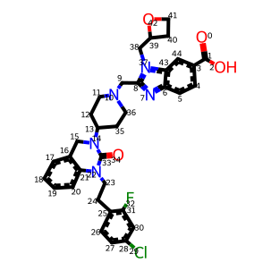 O=C(O)c1ccc2nc(CN3CCC(N4Cc5ccccc5N(CCc5ccc(Cl)cc5F)C4=O)CC3)n(CC3CCO3)c2c1